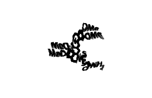 CCC1CN2CCc3cc(OC)c(OC)cc3C2CC1CC1c2cc(OC)c(OC)cc2CCN1C(=S)SCC(N)=O